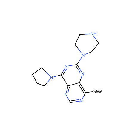 CSc1ncnc2c(N3CCCC3)nc(N3CCNCC3)nc12